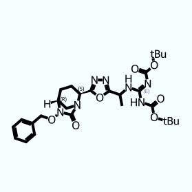 CC(N/C(=N\C(=O)OC(C)(C)C)NC(=O)OC(C)(C)C)c1nnc([C@@H]2CC[C@@H]3CN2C(=O)N3OCc2ccccc2)o1